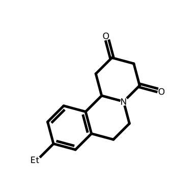 CCc1ccc2c(c1)CCN1C(=O)CC(=O)CC21